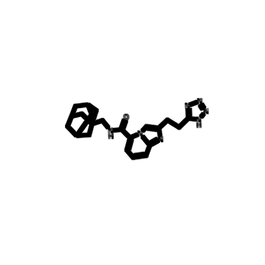 O=C(NCC12CC3CC(CC(C3)C1)C2)c1cccc2nc(CCc3nnn[nH]3)cn12